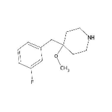 COC1(Cc2cccc(F)c2)CCNCC1